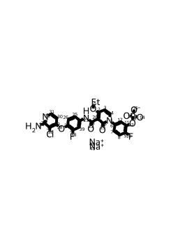 CCOc1ccn(-c2ccc(F)c(OP(=O)([O-])[O-])c2)c(=O)c1C(=O)Nc1ccc(Oc2ccnc(N)c2Cl)c(F)c1.[Na+].[Na+]